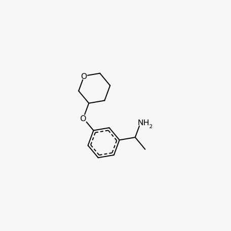 CC(N)c1cccc(OC2CCCOC2)c1